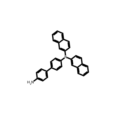 Nc1ccc(-c2ccc(N(c3ccc4ccccc4c3)c3ccc4ccccc4c3)cc2)cc1